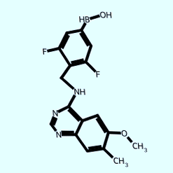 COc1cc2c(NCc3c(F)cc(BO)cc3F)ncnc2cc1C